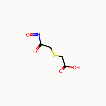 O=NC(=O)CSCC(=O)O